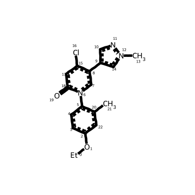 CCOc1ccc(-n2cc(-c3cnn(C)c3)c(Cl)cc2=O)c(C)c1